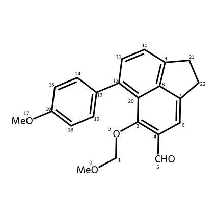 COCOc1c(C=O)cc2c3c(ccc(-c4ccc(OC)cc4)c13)CC2